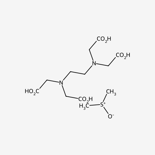 C[S+](C)[O-].O=C(O)CN(CCN(CC(=O)O)CC(=O)O)CC(=O)O